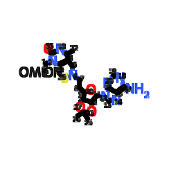 COCn1cc(CN(CCC2OC(n3cnc4c(N)ncnc43)C3OC(C)(C)OC23)SN=O)c(C)nc1=O